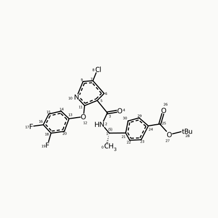 C[C@H](NC(=O)c1cc(Cl)cnc1Oc1ccc(F)c(F)c1)c1ccc(C(=O)OC(C)(C)C)cc1